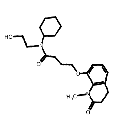 CN1C(=O)CCc2cccc(OCCCC(=O)N(CCO)C3CCCCC3)c21